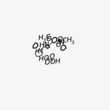 COc1ccc(S(=O)(=O)N(C)c2ccccc2)cc1-c1ccc(CN2CCCCC[C@@H]2c2ccccc2)[nH]1.O=C(O)C(=O)O